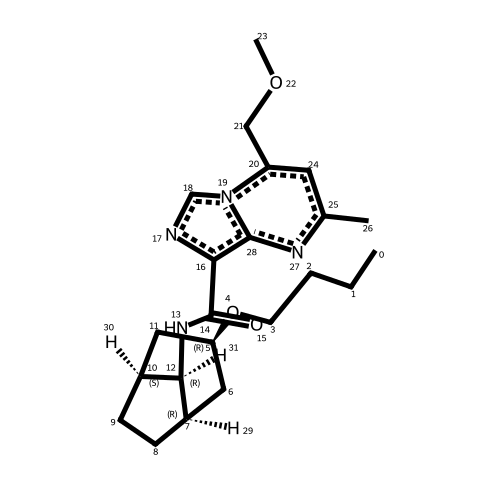 CCCCO[C@H]1C[C@H]2CC[C@@H](C1)[C@H]2NC(=O)c1ncn2c(COC)cc(C)nc12